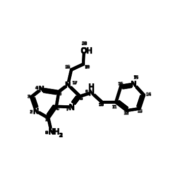 Nc1ncnc2c1nc(NCc1cccnc1)n2CCO